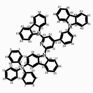 c1ccc([Si](c2ccccc2)(c2ccccc2)c2ccc3c(c2)c2ccccc2n3-c2cc(-c3cccc(-n4c5ccccc5c5ccccc54)c3)cc(-n3c4ccccc4c4ccccc43)n2)cc1